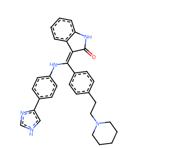 O=C1Nc2ccccc2C1=C(Nc1ccc(-c2c[nH]cn2)cc1)c1ccc(CCN2CCCCC2)cc1